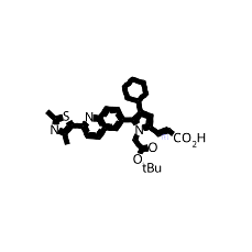 Cc1nc(C)c(-c2ccc3cc(-c4c(C5CCCCC5)cc(/C=C/C(=O)O)n4CC(=O)OC(C)(C)C)ccc3n2)s1